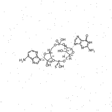 Nc1nc2c(ncn2[C@@H]2O[C@@H]3COP(O)(=S)O[C@H]4[C@@H](O)[C@H](n5cnc6c(N)ccnc65)O[C@@H]4COP(=O)(O)O[C@@H]2[C@@H]3O)c(=O)[nH]1